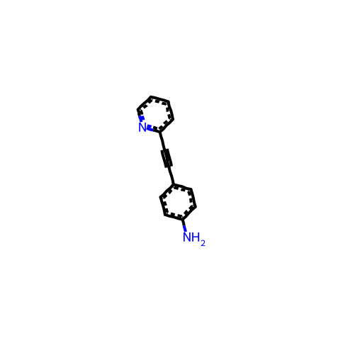 Nc1ccc(C#Cc2ccccn2)cc1